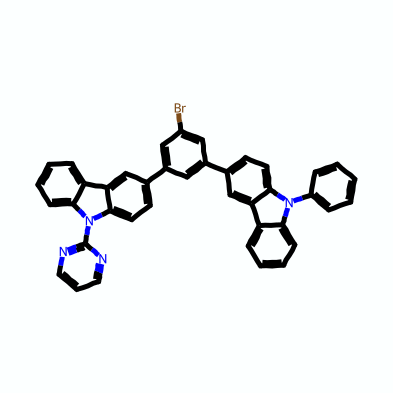 Brc1cc(-c2ccc3c(c2)c2ccccc2n3-c2ccccc2)cc(-c2ccc3c(c2)c2ccccc2n3-c2ncccn2)c1